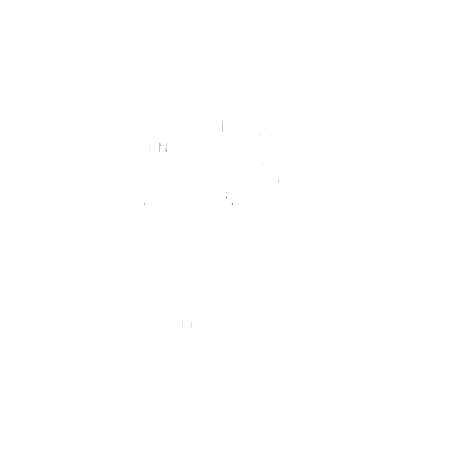 COC(=O)c1nc(-c2ccc(Br)cc2)c(Cl)c(N)c1Cl